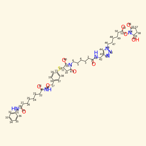 O=C(CCCCCN1C(=O)CC(Sc2ccc(CONC(=O)CCCCCCC(=O)Nc3ccccc3)cc2)C1=O)NCc1cn(CCCCCC(=O)ON2C(=O)CCC2O)nn1